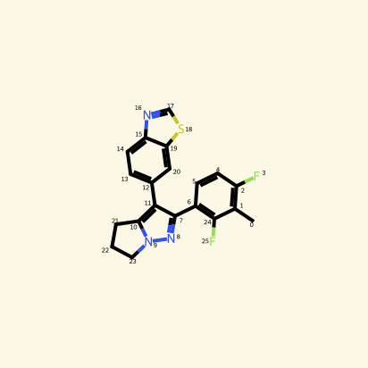 Cc1c(F)ccc(-c2nn3c(c2-c2ccc4ncsc4c2)CCC3)c1F